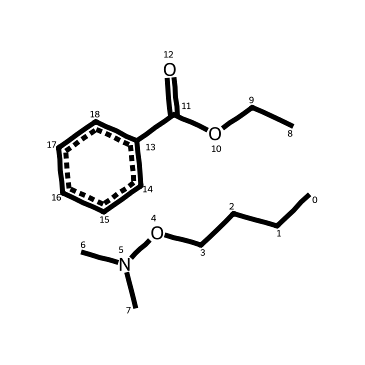 CCCCON(C)C.CCOC(=O)c1ccccc1